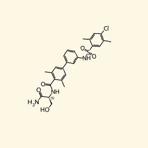 Cc1cc(S(=O)(=O)Nc2cccc(-c3cc(C)c(C(=O)N[C@@H](CO)C(N)=O)c(C)c3)c2)c(C)cc1Cl